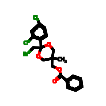 CC1(COC(=O)c2ccccc2)COC(CBr)(c2ccc(Cl)cc2Cl)OC1